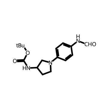 CC(C)(C)OC(=O)NC1CCN(c2ccc(NC=O)cc2)C1